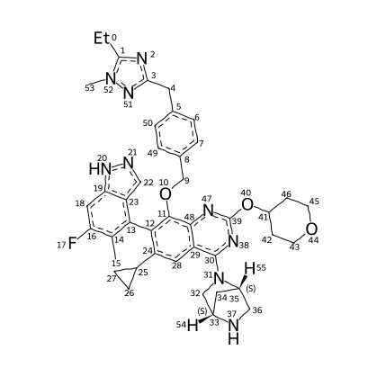 CCc1nc(Cc2ccc(COc3c(-c4c(C)c(F)cc5[nH]ncc45)c(C4CC4)cc4c(N5C[C@@H]6C[C@H]5CN6)nc(OC5CCOCC5)nc34)cc2)nn1C